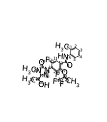 Cc1ccccc1NC(=O)c1cc(F)c(-n2nc([C@H](C)O)n(C)c2=O)cc1O[C@@H](C)C(F)(F)F